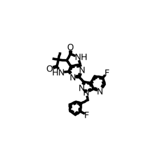 CC1(C)C(=O)Nc2nc(-c3nn(Cc4ccccc4F)c4ncc(F)cc34)nc3c2C1C(=O)N3